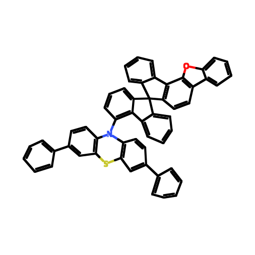 c1ccc(-c2ccc3c(c2)Sc2cc(-c4ccccc4)ccc2N3c2cccc3c2-c2ccccc2C32c3ccccc3-c3c2ccc2c3oc3ccccc32)cc1